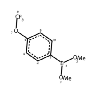 COB(OC)c1ccc(OC(F)(F)F)cc1